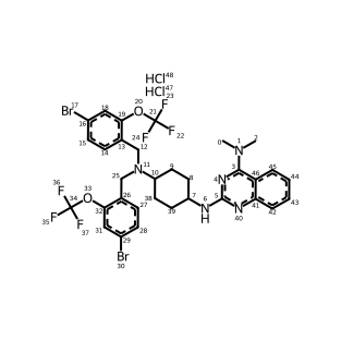 CN(C)c1nc(NC2CCC(N(Cc3ccc(Br)cc3OC(F)(F)F)Cc3ccc(Br)cc3OC(F)(F)F)CC2)nc2ccccc12.Cl.Cl